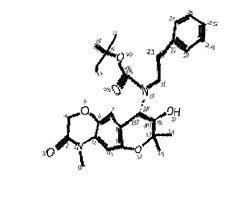 CN1C(=O)COc2cc3c(cc21)OC(C)(C)[C@H](O)[C@H]3N(CCc1ccccc1)C(=O)OC(C)(C)C